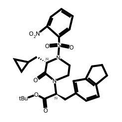 CC(C)(C)OC(=O)[C@H](Cc1ccc2c(c1)CCC2)N1CCN(S(=O)(=O)c2ccccc2[N+](=O)[O-])[C@@H](CC2CC2)C1=O